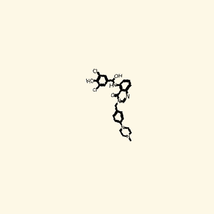 CN1CCN(c2ccc(Cn3cnc4cccc(NC(O)c5cc(Cl)c(O)c(Cl)c5)c4c3=O)cc2)CC1